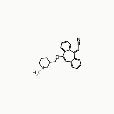 CN1CCCC(COC2=Cc3ccccc3/C(=C/C#N)c3ccccc32)C1